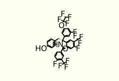 O=C(N[C@@](Cc1ccc(O)cc1)(c1cc(F)cc(OC(F)(F)C(F)F)c1)c1ccc(F)c(C(F)(F)F)c1)c1ccc(F)c(C(F)(F)F)c1